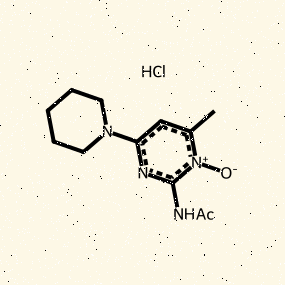 CC(=O)Nc1nc(N2CCCCC2)cc(C)[n+]1[O-].Cl